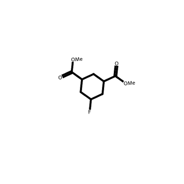 COC(=O)C1CC(F)CC(C(=O)OC)C1